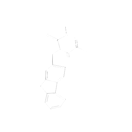 COC(=O)C(Cc1ccc2c(c1)Cc1ccccc1-2)NC(C)=O